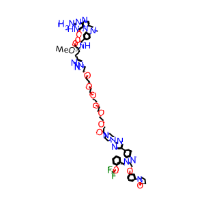 COC(=O)[C@H](CCc1cn(CCOCCOCCOCCOCCOCCOCC(=O)N2CCN(c3ncc(-c4ccc5nc(COc6cccc(N7CCCC7=O)c6)n(Cc6ccccc6OC(F)F)c5c4)cn3)CC2)nn1)NC(=O)c1ccc(N(C)Cc2cnc3nc(N)[nH]c(=O)c3n2)cc1